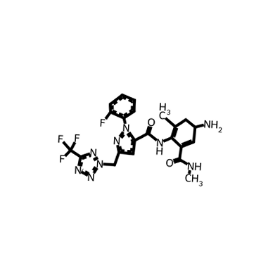 CNC(=O)C1=CC(N)CC(C)=C1NC(=O)c1cc(Cn2nnc(C(F)(F)F)n2)nn1-c1ccccc1F